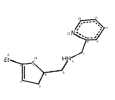 CCC1=CCC(CNCc2ccccn2)S1